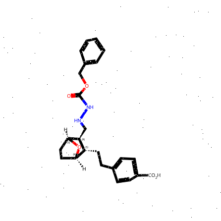 O=C(NNC[C@H]1[C@H](CCc2ccc(C(=O)O)cc2)[C@H]2CC[C@@H]1O2)OCc1ccccc1